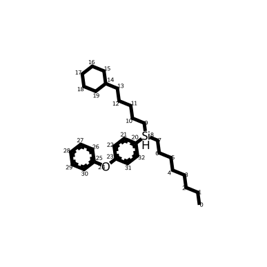 CCCCCCCC[SiH](CCCCCC1CCCCC1)c1ccc(Oc2ccccc2)cc1